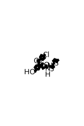 Cc1ccc(-c2csc(NC(=O)Cc3c(C)n(C(=O)c4ccc(Cl)cc4)c4ccc(CO)cc34)n2)s1